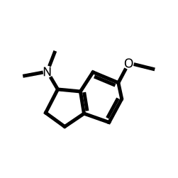 COc1ccc2c(c1)C(N(C)C)CC2